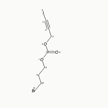 O=C(OCC#CI)OCCCBr